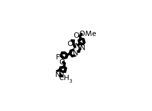 COC(=O)c1ccc2nc(CN3CC=C(c4ccc(F)c(OCc5ccc6c(cnn6C)c5)c4)CC3)n(CC3CCO3)c2c1